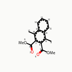 COC(=O)c1c(C(=O)OC)c(C)c2ccccc2c1C